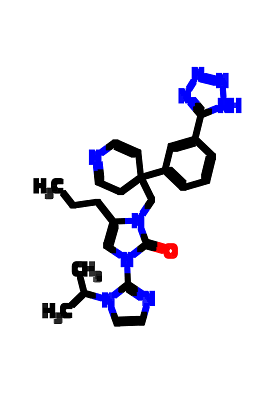 CCCc1cn(-c2nccn2C(C)C)c(=O)n1CC1(c2cccc(-c3nnn[nH]3)c2)C=CN=CC1